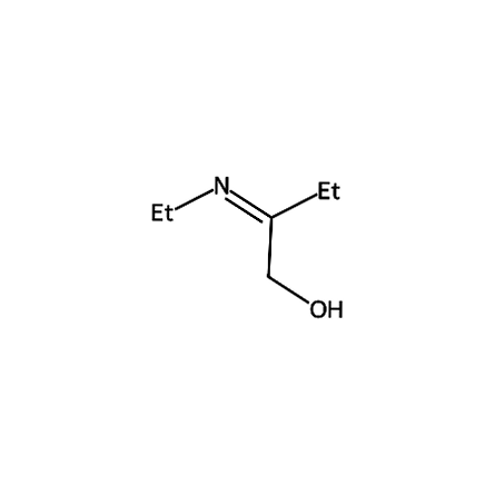 CCN=C(CC)CO